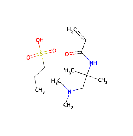 C=CC(=O)NC(C)(C)CN(C)C.CCCS(=O)(=O)O